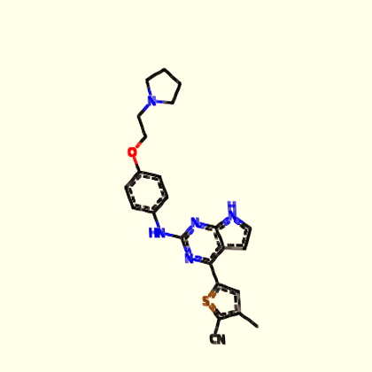 Cc1cc(-c2nc(Nc3ccc(OCCN4CCCC4)cc3)nc3[nH]ccc23)sc1C#N